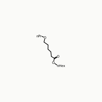 CCCCCCOC(=O)CCCCCOCCC